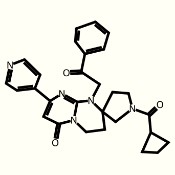 O=C(CN1c2nc(-c3ccncc3)cc(=O)n2CCC12CCN(C(=O)C1CCC1)C2)c1ccccc1